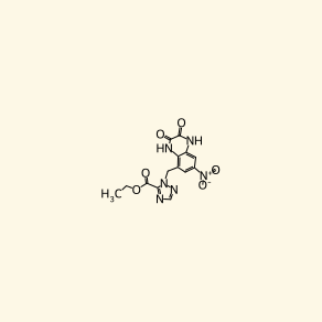 CCOC(=O)c1ncnn1Cc1cc([N+](=O)[O-])cc2[nH]c(=O)c(=O)[nH]c12